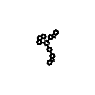 c1ccc2c(c1)ccc1cccc(-c3nc(-c4ccc(-c5ccc6sc7ccccc7c6c5)cc4)nc(-c4ccc5c(c4)sc4ccccc45)n3)c12